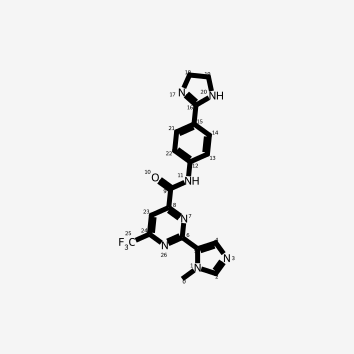 Cn1cncc1-c1nc(C(=O)Nc2ccc(C3=NCCN3)cc2)cc(C(F)(F)F)n1